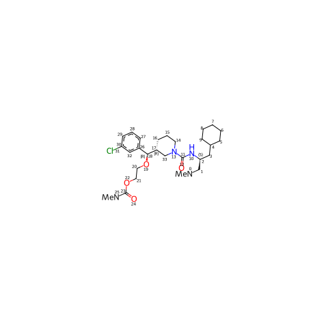 CNC[C@H](CC1CCCCC1)NC(=O)N1CCC[C@@H]([C@@H](OCCOC(=O)NC)c2cccc(Cl)c2)C1